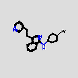 CC(C)[C@H]1CC[C@@H](Nc2ncc(CCc3cccnc3)c3ccccc23)CC1